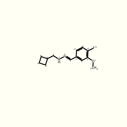 COc1cc(/C=N/NCC2CCC2)ccc1F